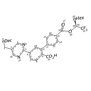 CCCCCCCCCCCc1cnc(-c2ccc(C(=O)O)c(-c3ccc(C(=O)O[C@@H](CCCCCC)C(F)(F)F)cc3)c2)nc1